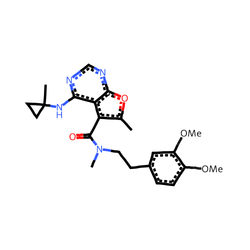 COc1ccc(CCN(C)C(=O)c2c(C)oc3ncnc(NC4(C)CC4)c23)cc1OC